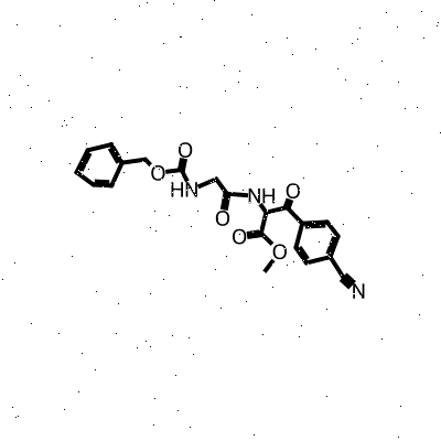 COC(=O)C(NC(=O)CNC(=O)OCc1ccccc1)C(=O)c1ccc(C#N)cc1